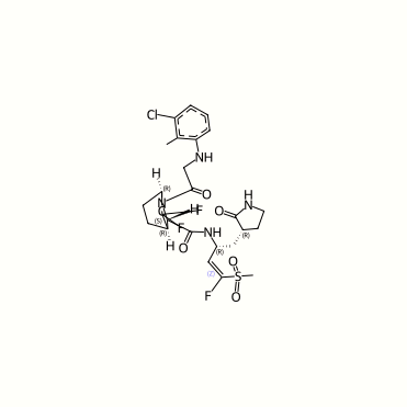 Cc1c(Cl)cccc1NCC(=O)N1[C@@H]2CC[C@H]([C@H]1C(=O)N[C@@H](/C=C(/F)S(C)(=O)=O)C[C@H]1CCNC1=O)C(F)(F)C2